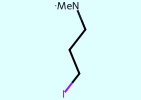 C[N]CCCI